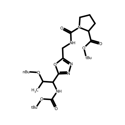 CCCCOC(C)C(NC(=O)OC(C)(C)C)c1nnc(CNC(=O)N2CCCC2C(=O)OC(C)(C)C)o1